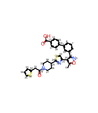 Cc1onc(-c2cccc(-c3ccc(C(=O)O)cc3)c2)c1-c1csc(C2CCN(C(=O)Cc3cccs3)CC2)n1